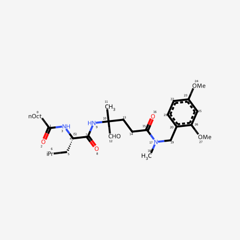 CCCCCCCCC(=O)N[C@@H](CC(C)C)C(=O)NC(C)(C=O)CCC(=O)N(C)Cc1ccc(OC)cc1OC